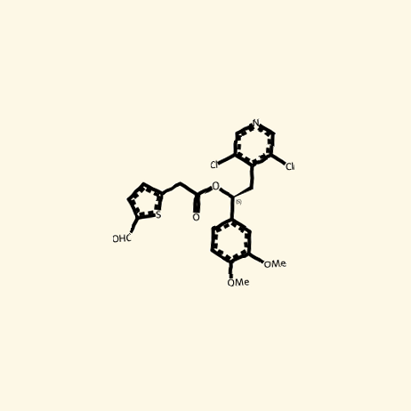 COc1ccc([C@H](Cc2c(Cl)cncc2Cl)OC(=O)Cc2ccc(C=O)s2)cc1OC